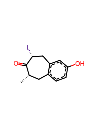 C[C@H]1Cc2ccc(O)cc2C[C@@H](I)C1=O